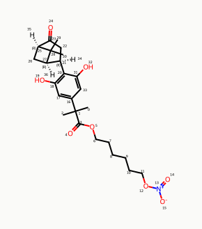 CC(C)(C(=O)OCCCCCCO[N+](=O)[O-])c1cc(O)c([C@@H]2CC(=O)[C@@H]3C[C@H]2C3(C)C)c(O)c1